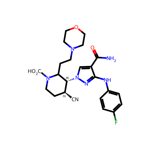 N#C[C@H]1CCN(C(=O)O)C(CCN2CCOCC2)[C@@H]1n1cc(C(N)=O)c(Nc2ccc(F)cc2)n1